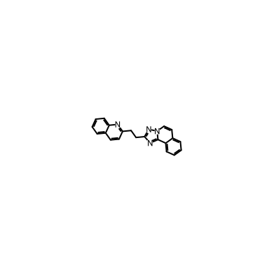 c1ccc2nc(CCc3nc4c5ccccc5ccn4n3)ccc2c1